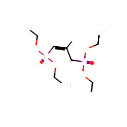 CCOP(=O)(C=C(C)CP(=O)(OCC)OCC)OCC